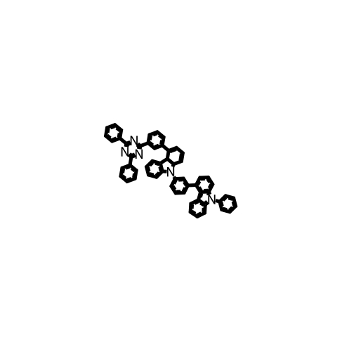 C1=CC2C(C(c3cccc(-c4nc(-c5ccccc5)nc(-c5ccccc5)n4)c3)=C1)c1ccccc1N2c1cccc(-c2cccc3c2c2ccccc2n3-c2ccccc2)c1